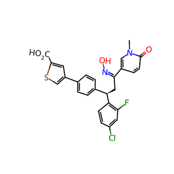 Cn1cc(C(C[C@H](c2ccc(-c3csc(C(=O)O)c3)cc2)c2ccc(Cl)cc2F)=NO)ccc1=O